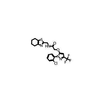 O=C(COc1cc(C(F)(F)F)nn1-c1ccccc1Cl)NCc1nc2c(s1)CCCC2